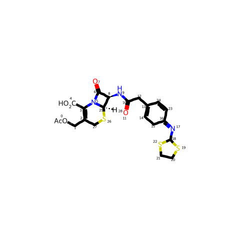 CC(=O)OCC1=C(C(=O)O)N2C(=O)[C@@H](NC(=O)CC3=CCC(=NC4SCCS4)C=C3)[C@H]2SC1